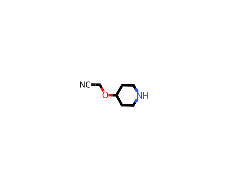 N#CCOC1CCNCC1